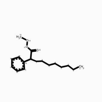 CCCCCCCCC(C(=O)OOC)c1ccccc1